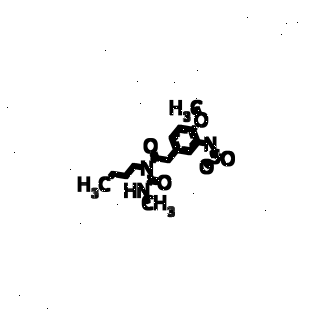 CCCCN(C(=O)Cc1ccc(OC)c(N=S(=O)=O)c1)C(=O)NC